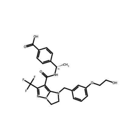 C[C@H](NC(=O)c1c(C(F)(F)F)nn2c1N(Cc1cccc(OCCO)c1)CC2)c1ccc(C(=O)O)cc1